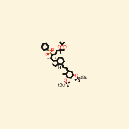 C=C1C(=CC=C2CCC[C@]3(C)[C@@H]([C@H](C)C(CCC4(C)COC(C)(C)O4)S(=O)(=O)c4ccccc4)CC[C@@H]23)C[C@@H](O[Si](C)(C)C(C)(C)C)C[C@@H]1O[Si](C)(C)C(C)(C)C